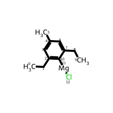 CCc1cc(C)cc(CC)[c]1[Mg][Cl]